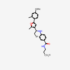 COc1ccc(-c2cc(C(CC(C)C)Nc3ccc(C(=O)NCCC(=O)O)cc3)c(C)o2)c(C)c1